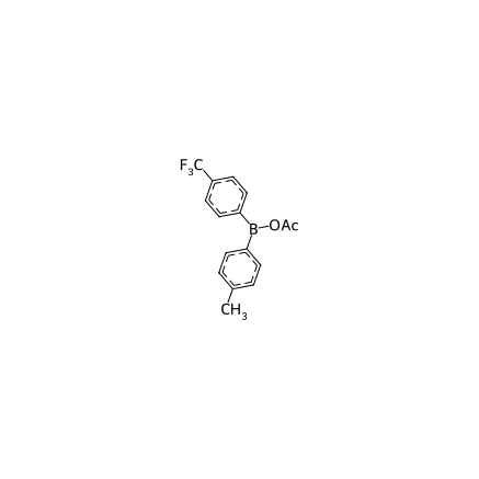 CC(=O)OB(c1ccc(C)cc1)c1ccc(C(F)(F)F)cc1